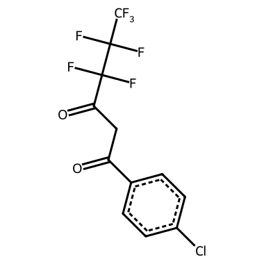 O=C(CC(=O)C(F)(F)C(F)(F)C(F)(F)F)c1ccc(Cl)cc1